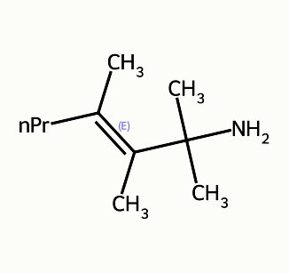 CCC/C(C)=C(\C)C(C)(C)N